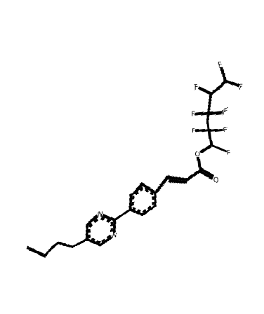 CCCCc1cnc(-c2ccc(C=CC(=O)OC(F)C(F)(F)C(F)(F)C(F)C(F)F)cc2)nc1